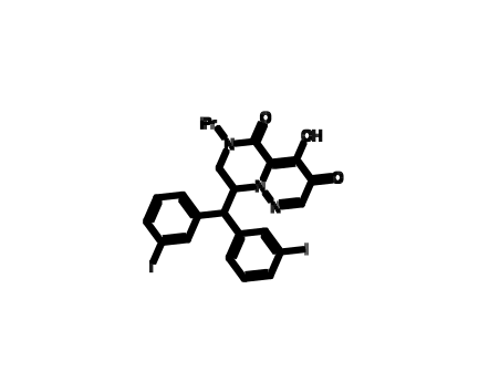 CC(C)N1CC(C(c2cccc(I)c2)c2cccc(I)c2)n2ncc(=O)c(O)c2C1=O